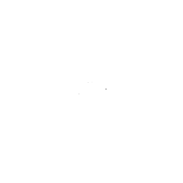 CC(C)[Si]O[Si](C(C)C)(C(C)C)C(C)C